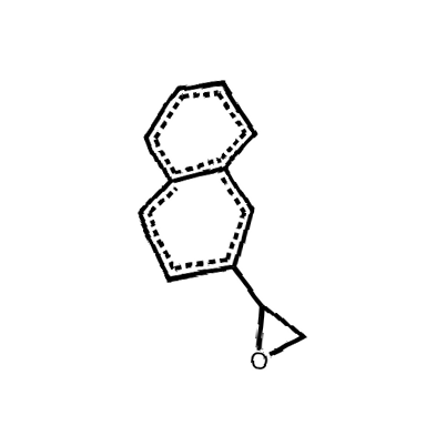 c1ccc2cc(C3CO3)ccc2c1